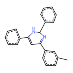 Cc1cccc(C2=NC(c3ccccc3)NC(c3ccccc3)=C2)c1